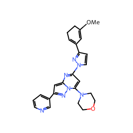 COC1=CC(c2ccn(-c3cc(N4CCOCC4)n4nc(-c5cccnc5)cc4n3)n2)=CCC1